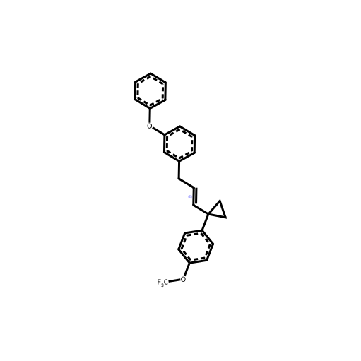 FC(F)(F)Oc1ccc(C2(/C=C/Cc3cccc(Oc4ccccc4)c3)CC2)cc1